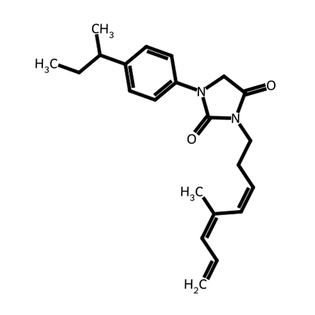 C=C/C=C(C)\C=C/CCN1C(=O)CN(c2ccc(C(C)CC)cc2)C1=O